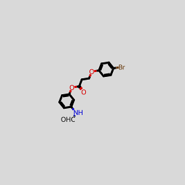 O=CNc1cccc(OC(=O)CCOc2ccc(Br)cc2)c1